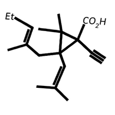 C#CC1(C(=O)O)C(C)(C)C1(C=C(C)C)CC(C)=CCC